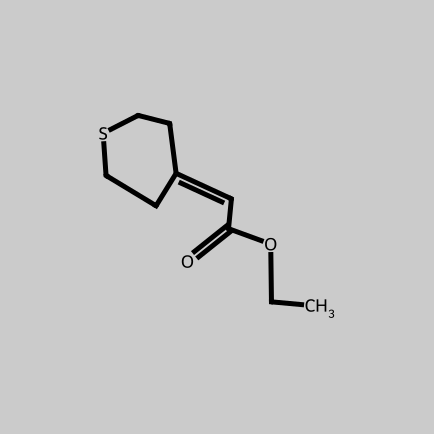 CCOC(=O)C=C1CCSCC1